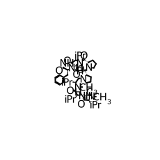 CC(C)[C@H](NC(=O)[C@@H]1CCCN1C(=O)[C@@H]1CCCN1C(=O)[C@H](C(C)C)N(C)C(=O)[C@@H](NC(=O)[C@H](C(C)C)N(C)C)C(C)C)C(=O)N[C@@H](Cc1ccccc1)C(N)=O